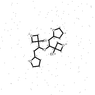 CCC1(C(CC2CCCO2)OC(CC2CCCO2)C2(CC)COC2)COC1